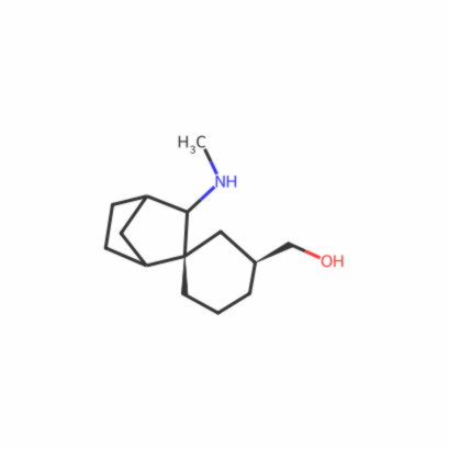 CNC1C2CCC(C2)[C@]12CCC[C@H](CO)C2